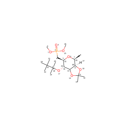 COP(=O)(C[C@H]1O[C@@H](C)[C@H]2OC(C)(C)OC2[C@@H]1O[Si](C)(C)C(C)(C)C)OC